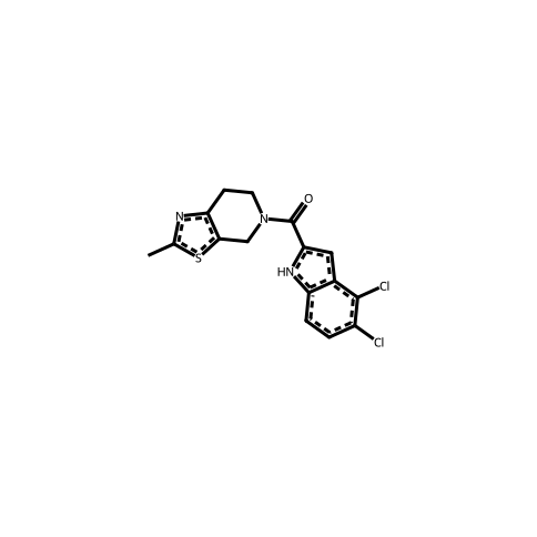 Cc1nc2c(s1)CN(C(=O)c1cc3c(Cl)c(Cl)ccc3[nH]1)CC2